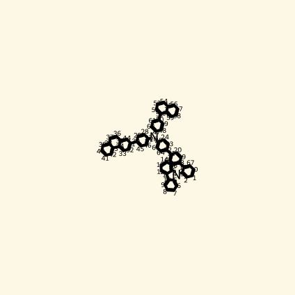 c1ccc(-n2c3ccccc3c3ccccc32)c(-c2ccc(-c3ccc(N(c4ccc(-c5ccc6c(ccc7ccccc76)c5)cc4)c4ccc(-c5cccc6ccccc56)cc4)cc3)cc2)c1